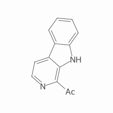 CC(=O)c1nccc2c1[nH]c1ccccc12